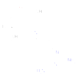 Cc1cn(-c2ccc3c(N)nc(N)nc3c2)c2c1C(=O)CC(C)(C)C2